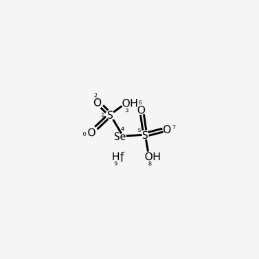 O=S(=O)(O)[Se]S(=O)(=O)O.[Hf]